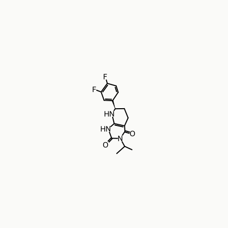 CC(C)n1c(=O)[nH]c2c(c1=O)CC[C@H](c1ccc(F)c(F)c1)N2